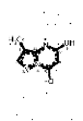 Cc1cnn2c(Cl)cc(O)nc12